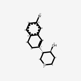 O[C@H]1CCOC[C@@H]1C1=Cc2cc(Br)ccc2CC1